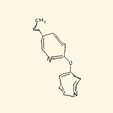 CCc1ccc(Oc2cccnc2)nc1